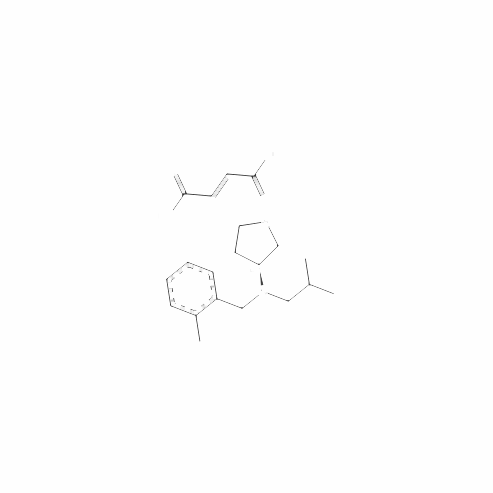 Cc1ccccc1CN(CC(C)C)[C@H]1CCNC1.O=C(O)C=CC(=O)O